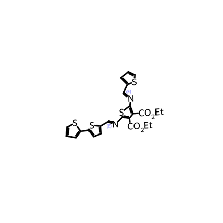 CCOC(=O)c1c(/N=C/c2cccs2)sc(/N=C/c2ccc(-c3cccs3)s2)c1C(=O)OCC